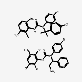 CCc1ccc(N(C(=O)Nc2c(C(C)(C)C)ccc(N)c2C)C(C)(I)c2ccc(Cl)cc2)cc1.CCc1ccc(N(C(=O)Nc2c(CC)c(N)cc(Cl)c2CC)C(C[N+](=O)[O-])c2ccccc2)cc1